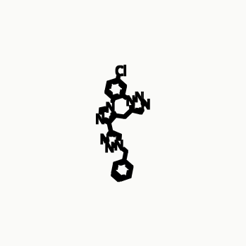 Clc1ccc2c(c1)-n1nncc1Cc1c(-c3cn(Cc4cc#ccc4)nn3)ncn1-2